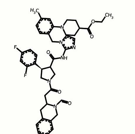 CCOC(=O)C1CCN(c2cc(C)ccc2Cn2ccnc2NC(=O)C2CN(C(=O)CC3Cc4ccccc4CN3C=O)C[C@H]2c2ccc(F)cc2F)CC1